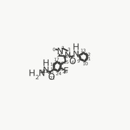 CN1CCN(C(=O)Nc2ccccc2)C(Cc2ccc(C(=O)NN)cc2F)C1